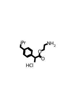 CC(C)Cc1ccc(C(C)C(=O)OCCN)cc1.Cl